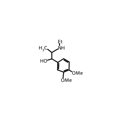 CCNC(C)C(O)c1ccc(OC)c(OC)c1